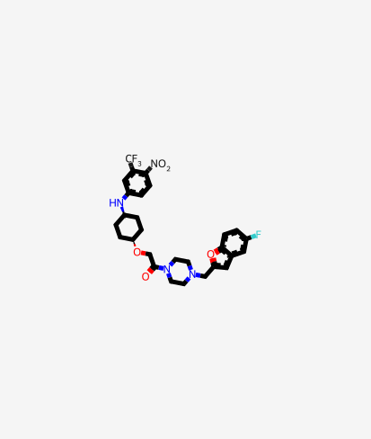 O=C(CO[C@H]1CC[C@H](Nc2ccc([N+](=O)[O-])c(C(F)(F)F)c2)CC1)N1CCN(Cc2cc3cc(F)ccc3o2)CC1